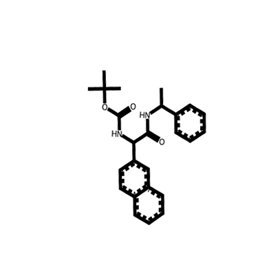 CC(NC(=O)C(NC(=O)OC(C)(C)C)c1ccc2ccccc2c1)c1ccccc1